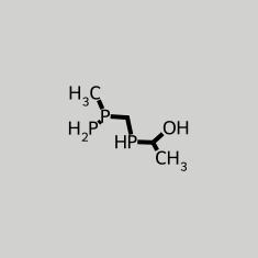 CC(O)PCP(C)P